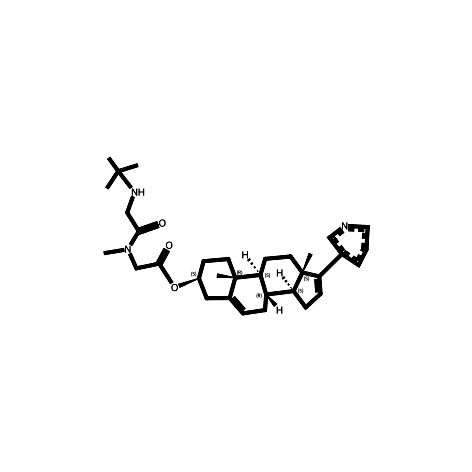 CN(CC(=O)O[C@H]1CC[C@@]2(C)C(=CC[C@@H]3[C@@H]2CC[C@]2(C)C(c4cccnc4)=CC[C@@H]32)C1)C(=O)CNC(C)(C)C